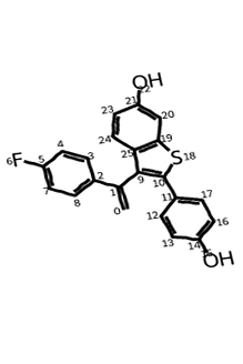 C=C(c1ccc(F)cc1)c1c(-c2ccc(O)cc2)sc2cc(O)ccc12